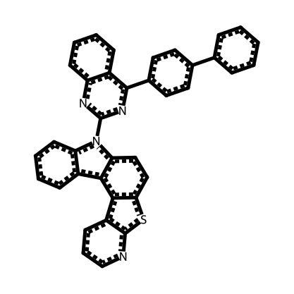 c1ccc(-c2ccc(-c3nc(-n4c5ccccc5c5c6c(ccc54)sc4ncccc46)nc4ccccc34)cc2)cc1